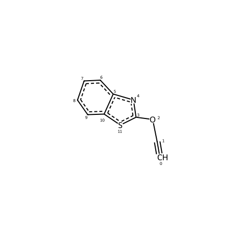 C#COc1nc2ccccc2s1